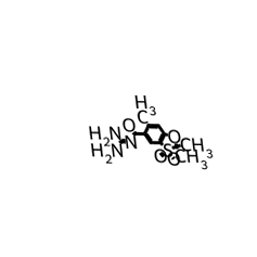 Cc1cc2c(cc1C(=O)N=C(N)N)S(=O)(=O)C(C)(C)O2